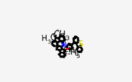 CC1(C)c2ccccc2-c2c(N(c3cccc(-c4cccc5sc6ccccc6c45)c3)c3cccc4c3C(C)(C)c3ccccc3-4)cccc21